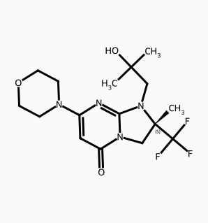 CC(C)(O)CN1c2nc(N3CCOCC3)cc(=O)n2C[C@@]1(C)C(F)(F)F